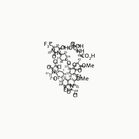 CC1COc2ccccc2N1C(=O)C(Cl)Cl.CCc1ccc(COc2ccc(-n3c(=O)cc(C(F)(F)F)n(C)c3=O)cc2)c(OC(C)C(=O)OC)c1.CCc1cccc(C)c1N(C(=O)CCl)C(C)COC.O=C(O)CNCP(=O)(O)O